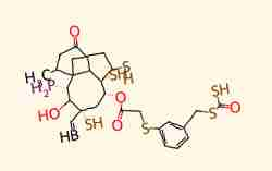 B=C[C@]1(S)C[C@@H](OC(=O)CSc2cccc(CSC(=O)S)c2)[C@]2(S)C(S)CC34CC(C(C)CC3=O)(C42)[C@@H](P)C1O